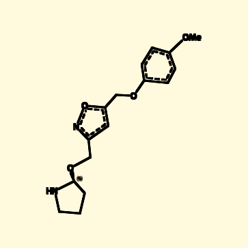 COc1ccc(OCc2cc(CO[C@H]3CCCN3)no2)cc1